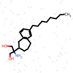 CCCCCCCCc1ccc2c(c1)CCCC(C(N)(CO)CO)C2